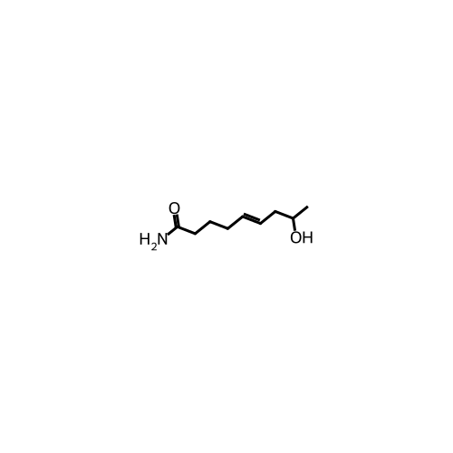 CC(O)C/C=C/CCCC(N)=O